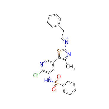 Cc1nc(/N=C/Cc2ccccc2)sc1-c1cnc(Cl)c(NS(=O)(=O)c2ccccc2)c1